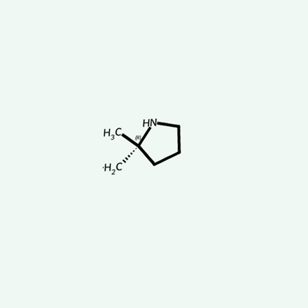 [CH2][C@@]1(C)CCCN1